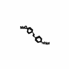 CCCCCC[C@H]1CC[C@H](CC[C@H]2CC[C@H](OC)CC2)CC1